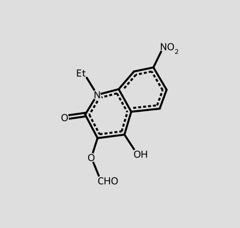 CCn1c(=O)c(OC=O)c(O)c2ccc([N+](=O)[O-])cc21